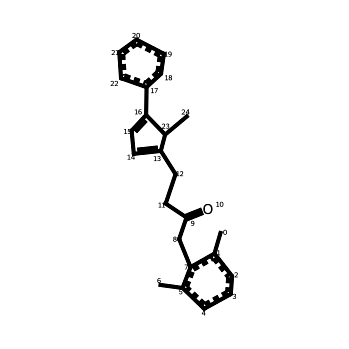 Cc1cccc(C)c1CC(=O)CCC1=CC=C(c2ccccc2)C1C